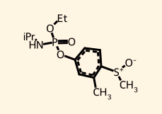 CCOP(=O)(NC(C)C)Oc1ccc([S+](C)[O-])c(C)c1